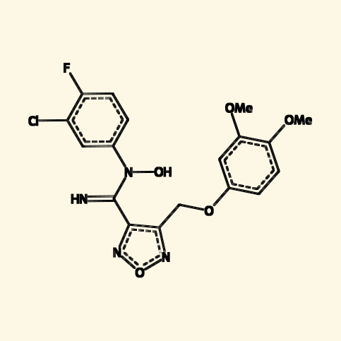 COc1ccc(OCc2nonc2C(=N)N(O)c2ccc(F)c(Cl)c2)cc1OC